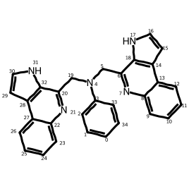 c1ccc(N(Cc2nc3ccccc3c3cc[nH]c23)Cc2nc3ccccc3c3cc[nH]c23)cc1